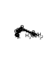 CC(N)(CN)C(=O)OCCCCCCCn1cc2cc(-c3cccc(F)c3)c(=O)oc2cc1=O